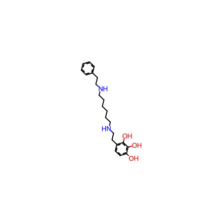 Oc1ccc(CCNCCCCCCNCCc2ccccc2)c(O)c1O